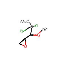 CCCOC(C1CO1)[Si](Cl)(Cl)OC